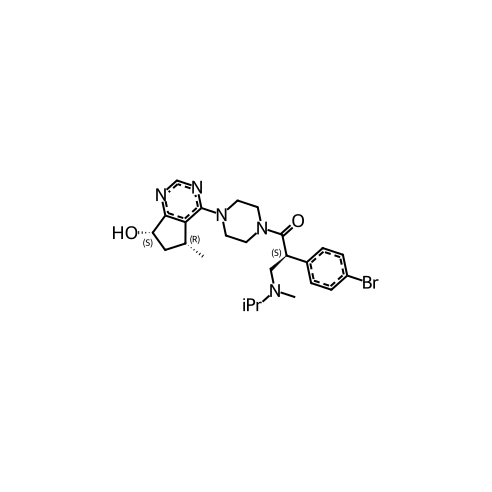 CC(C)N(C)C[C@@H](C(=O)N1CCN(c2ncnc3c2[C@H](C)C[C@@H]3O)CC1)c1ccc(Br)cc1